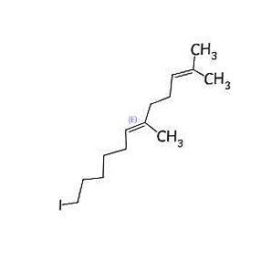 CC(C)=CCC/C(C)=C/CCCCCI